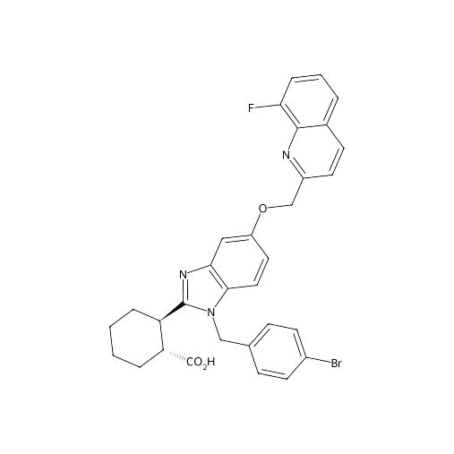 O=C(O)[C@@H]1CCCC[C@H]1c1nc2cc(OCc3ccc4cccc(F)c4n3)ccc2n1Cc1ccc(Br)cc1